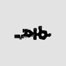 O=C(O)[C@@H]1C[C@@H](S(=O)(=O)c2ccc(F)cc2Cl)CN1